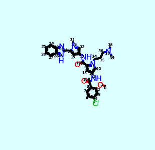 COc1cc(Cl)ccc1C(=O)Nc1cc(C(=O)Nc2cc(-c3nc4ccccc4[nH]3)n(C)c2)n(CCCN(C)C)c1